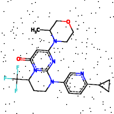 CC1COCCN1c1cc(=O)n2c(n1)N(c1ccc(C3CC3)nc1)CCC2C(F)(F)F